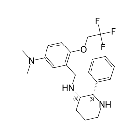 CN(C)c1ccc(OCC(F)(F)F)c(CN[C@H]2CCCN[C@H]2c2ccccc2)c1